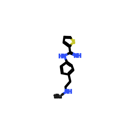 CC(C)(C)NCCc1ccc(NC(=N)c2cccs2)cc1